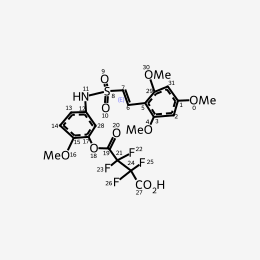 COc1cc(OC)c(/C=C/S(=O)(=O)Nc2ccc(OC)c(OC(=O)C(F)(F)C(F)(F)C(=O)O)c2)c(OC)c1